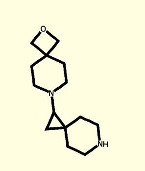 C1CC2(CCN1)CC2N1CCC2(CC1)COC2